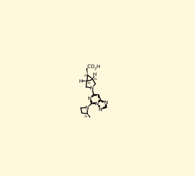 C[C@H]1CCN1c1nc(N2C[C@@H]3[C@@H](CC(=O)O)[C@@H]3C2)cc2ncnn12